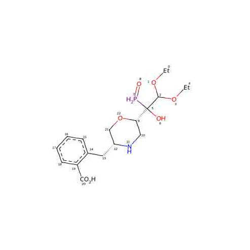 CCOC(OCC)C(O)([PH2]=O)[C@@H]1CN[C@H](Cc2ccccc2C(=O)O)CO1